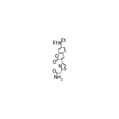 CCN(CC)c1ccc2cc(-c3csc(CC(N)=O)n3)c(=O)oc2c1